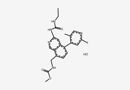 CCNC(=O)Nc1cc2c(-c3cc(F)ncc3C)ccc(CNC(=O)OC)c2cn1.Cl